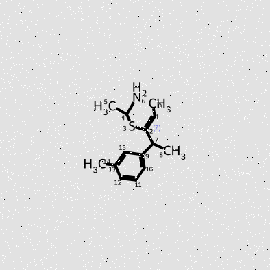 C/C=C(\SC(C)N)C(C)c1cccc(C)c1